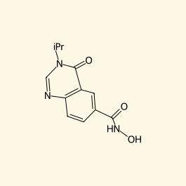 CC(C)n1cnc2ccc(C(=O)NO)cc2c1=O